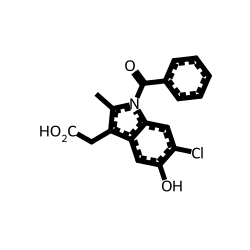 Cc1c(CC(=O)O)c2cc(O)c(Cl)cc2n1C(=O)c1ccccc1